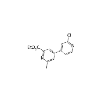 CCOC(=O)c1cc(-c2ccnc(Cl)c2)cc(C)n1